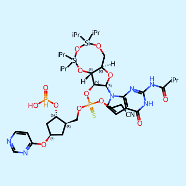 CC(C)C(=O)Nc1nc2c(ccn2[C@@H]2O[C@@H]3CO[Si](C(C)C)(C(C)C)O[Si](C(C)C)(C(C)C)O[C@H]3[C@@H]2OP(=S)(OCCC#N)OC[C@H]2C[C@@H](Oc3ccncn3)C[C@@H]2O[PH](=O)O)c(=O)[nH]1